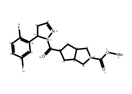 CC(C)(C)OC(=O)N1CC2CC(C(=O)N3N=CCC3c3cc(F)ccc3F)CC2C1